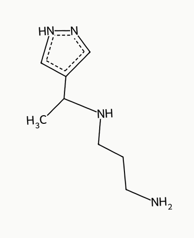 CC(NCCCN)c1cn[nH]c1